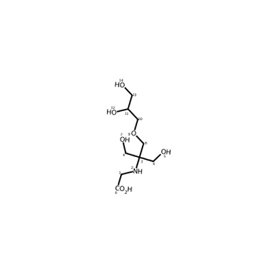 O=C(O)CNC(CO)(CO)COCC(O)CO